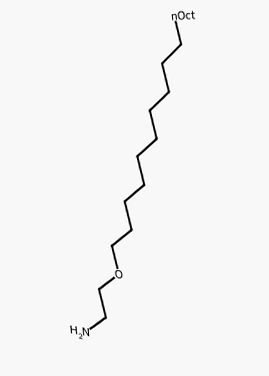 CCCCCCCCCCCCCCCCCCOCCN